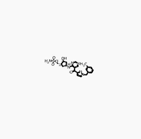 Cc1cccc(Cn2ccc(C(=O)c3cncnc3N[C@@H]3C[C@H](COS(N)(=O)=O)[C@@H](O)C3)n2)c1